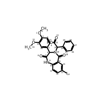 COc1ccc(C2C(=O)Nc3ccc(I)cc3C(=O)N2C(C(=O)O)c2ccccc2)cc1OC